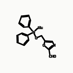 CC(C)(C)[Si](OCc1cnc(C=O)o1)(c1ccccc1)c1ccccc1